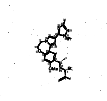 C=C(C)[S@@+]([O-])N[C@@H](C)c1cc2c(cc1OC)OCCn1cc(-c3nc(C)nn3C(C)C)nc1-2